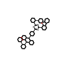 c1ccc(-c2ccccc2-c2nc(-c3ccc(-c4c5ccccc5c(-c5ccccc5-c5ccccc5)c5ccccc45)cc3)nc(-c3cccc4c3sc3ccccc34)n2)cc1